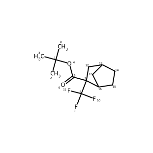 CC(C)(C)OC(=O)C1(C(F)(F)F)CC2CCC1C2